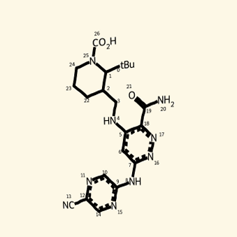 CC(C)(C)C1C(CNc2cc(Nc3cnc(C#N)cn3)nnc2C(N)=O)CCCN1C(=O)O